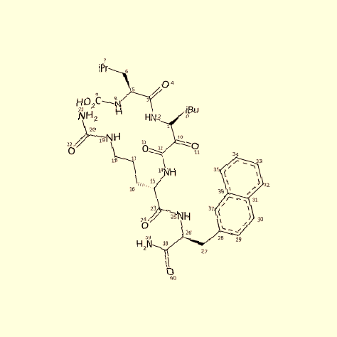 CC[C@H](C)C(NC(=O)[C@H](CC(C)C)NC(=O)O)C(=O)C(=O)N[C@@H](CCCNC(N)=O)C(=O)N[C@@H](Cc1ccc2ccccc2c1)C(N)=O